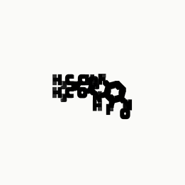 CC(C)(C)OC(=O)Nc1c(F)ccc(N=O)c1F